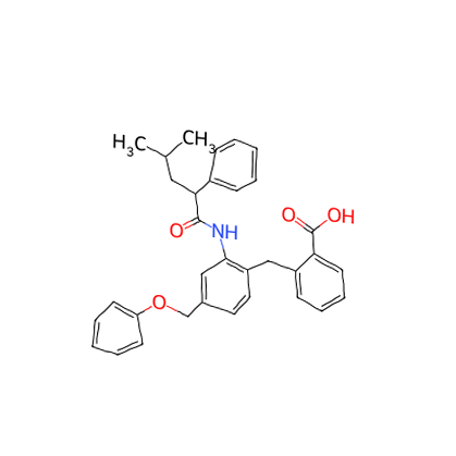 CC(C)CC(C(=O)Nc1cc(COc2ccccc2)ccc1Cc1ccccc1C(=O)O)c1ccccc1